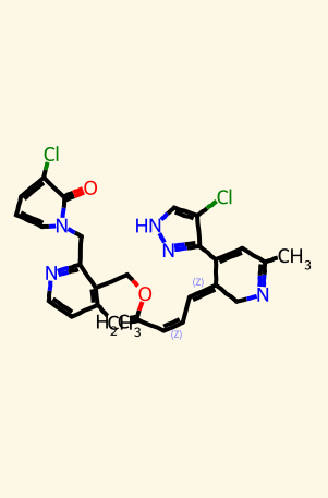 C=C(/C=C\C=C1/CN=C(C)C=C1c1n[nH]cc1Cl)OCc1c(C)ccnc1Cn1cccc(Cl)c1=O